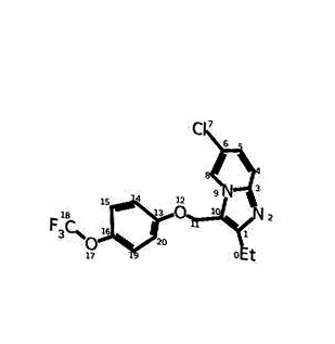 CCc1nc2ccc(Cl)cn2c1COc1ccc(OC(F)(F)F)cc1